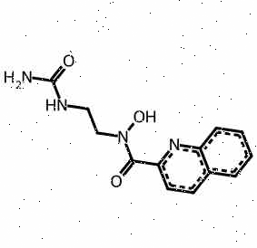 NC(=O)NCCN(O)C(=O)c1ccc2ccccc2n1